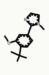 COc1cc(-c2nccn2C)ccc1C(C)(C)C